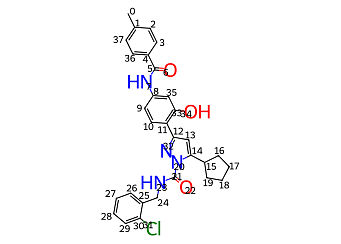 Cc1ccc(C(=O)Nc2ccc(-c3cc(C4CCCC4)n(C(=O)NCc4ccccc4Cl)n3)c(O)c2)cc1